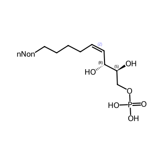 CCCCCCCCCCCCC/C=C\[C@@H](O)[C@@H](O)COP(=O)(O)O